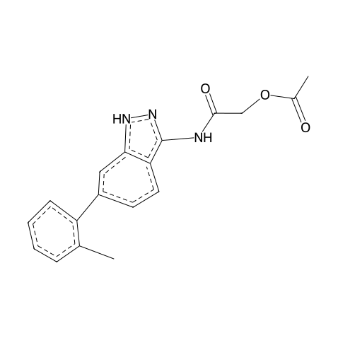 CC(=O)OCC(=O)Nc1n[nH]c2cc(-c3ccccc3C)ccc12